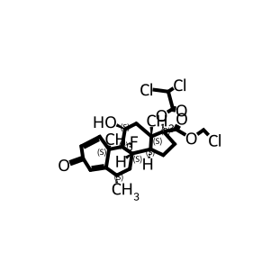 C[C@H]1C[C@H]2[C@@H]3CC[C@](OC(=O)C(Cl)Cl)(C(=O)OCCl)[C@@]3(C)C[C@H](O)[C@]2(F)[C@@]2(C)C=CC(=O)C=C12